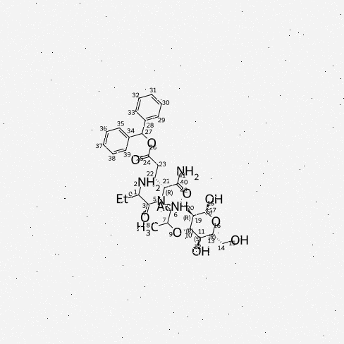 CCC(N)C(=O)N(CC(C)O[C@H]1[C@H](O)[C@@H](CO)O[C@H](O)[C@@H]1NC(C)=O)[C@H](CCC(=O)OC(c1ccccc1)c1ccccc1)C(N)=O